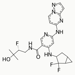 CC(C)(O)[C@H](F)CNC(=O)c1cnc(Nc2ccn3nccc3n2)cc1NC1CC2CC2C1(F)F